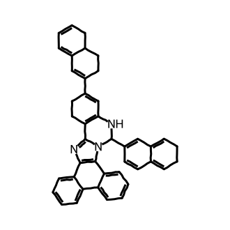 C1=CCC2CCC(C3=CC4=C(CC3)c3nc5c6ccccc6c6ccccc6c5n3C(c3ccc5c(c3)=CCCC=5)N4)=CC2=C1